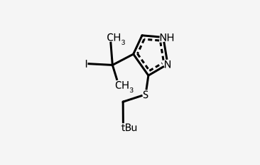 CC(C)(C)CSc1n[nH]cc1C(C)(C)I